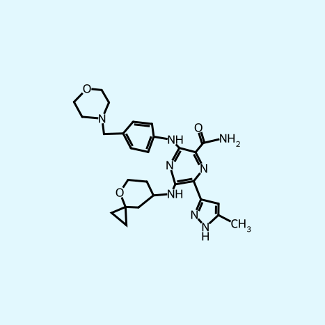 Cc1cc(-c2nc(C(N)=O)c(Nc3ccc(CN4CCOCC4)cc3)nc2NC2CCOC3(CC3)C2)n[nH]1